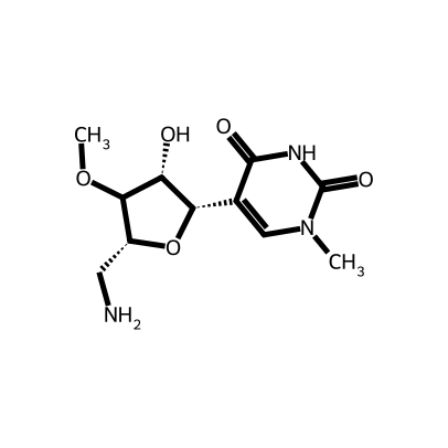 COC1[C@@H](CN)O[C@@H](c2cn(C)c(=O)[nH]c2=O)[C@H]1O